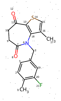 Cc1ccc(CN2C(=O)CCC(=O)c3scc(C)c32)cc1F